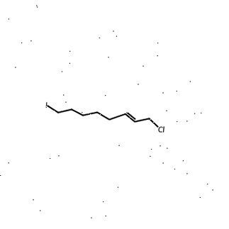 ClCC=CCCCCCI